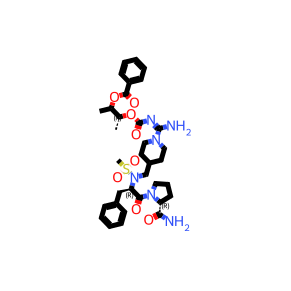 CC(OC(=O)c1ccccc1)[C@@H](C)OC(=O)N=C(N)N1CCC(CN([C@H](Cc2ccccc2)C(=O)N2CCC[C@@H]2C(N)=O)S(C)(=O)=O)CC1